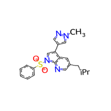 CC(C)Cc1cnc2c(c1)c(-c1cnn(C)c1)cn2S(=O)(=O)c1ccccc1